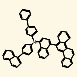 c1ccc(-c2ccc(N(c3ccc(-c4cccc5ccccc45)cc3)c3ccc(-c4cc5c6ccccc6ccc5c5ccccc45)c4ccccc34)cc2)cc1